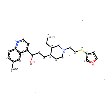 COc1ccc2nccc([C@H](O)CC[C@@H]3CCN(CCSc4ccoc4)C[C@@H]3CC(=O)O)c2c1